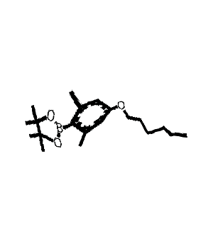 CCCCCCOc1cc(C)c(B2OC(C)(C)C(C)(C)O2)c(C)c1